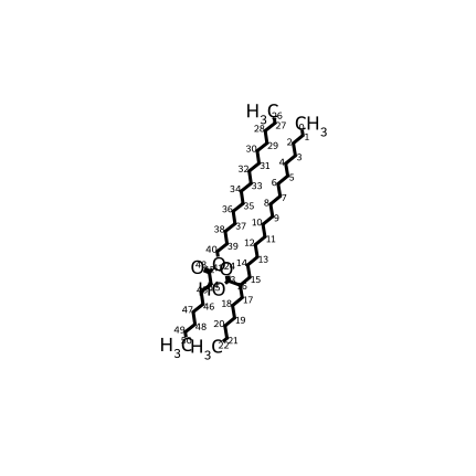 CCCCCCCCCCCCCCCCC(CCCCCC)C(=O)O.CCCCCCCCCCCCCCCOC(=O)CCCCCCC